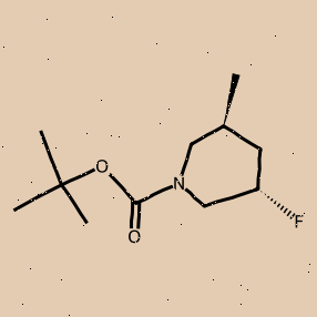 C[C@H]1C[C@H](F)CN(C(=O)OC(C)(C)C)C1